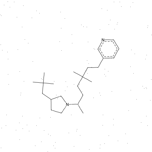 CC(CCC(C)(C)CCc1cccnc1)N1CCC(CC(C)(C)C)C1